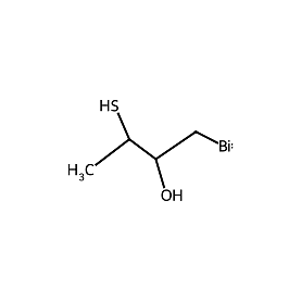 CC(S)C(O)[CH2][Bi]